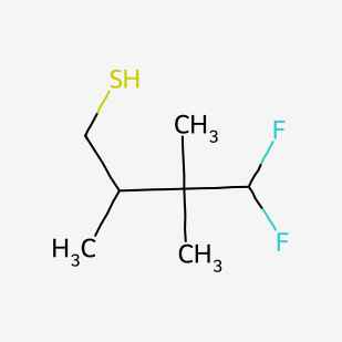 CC(CS)C(C)(C)C(F)F